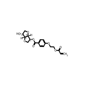 C=CC(=O)OCCOc1ccc(C(=O)O[C@H]2CO[C@H]3[C@@H]2OC[C@H]3O)cc1